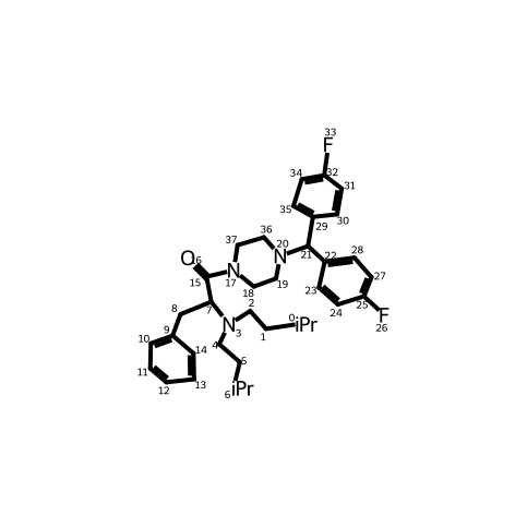 CC(C)CCN(CCC(C)C)C(Cc1ccccc1)C(=O)N1CCN(C(c2ccc(F)cc2)c2ccc(F)cc2)CC1